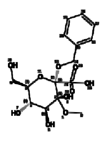 CO[C@]1(O)[C@@H](O)[C@H](O)[C@@H](CO)O[C@@]1(OCc1ccccc1)S(=O)(=O)O